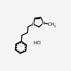 CN1C=CN(CCCc2ccccc2)C1.Cl